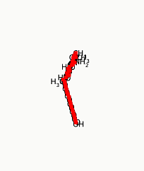 CCCN(OCC)C(=O)C1=Cc2ccc(C(=O)Nc3ccc(N4CCC(C(=O)NCCN(C)CCOCCOCCOCCOCCOCCOCCOCCOCCOCCOCCC(=O)O)CC4)nc3)cc2N=C(N)C1